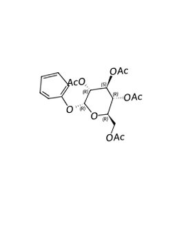 CC(=O)OC[C@H]1O[C@H](Oc2ccccc2)[C@H](OC(C)=O)[C@@H](OC(C)=O)[C@@H]1OC(C)=O